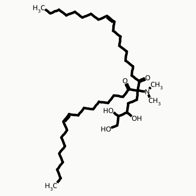 CCCCCCCC/C=C\CCCCCCCC(=O)C(CCC(O)C(O)CO)(C(=O)CCCCCCC/C=C\CCCCCCCC)N(C)C